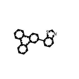 c1cc(-c2ccc3c4ccccc4c4ccccc4c3c2)c2scnc2c1